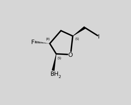 B[C@@H]1O[C@H](CI)C[C@H]1F